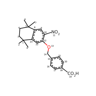 CC1(C)CCC(C)(C)c2cc([N+](=O)[O-])c(OCc3ccc(C(=O)O)cc3)cc21